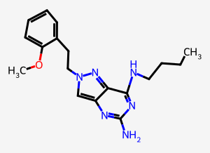 CCCCNc1nc(N)nc2cn(CCc3ccccc3OC)nc12